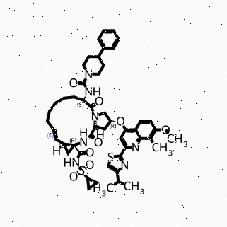 COc1ccc2c(O[C@@H]3C[C@H]4C(=O)N[C@]5(C(=O)NS(=O)(=O)C6CC6)C[C@H]5/C=C/CCCCC[C@H](NC(=O)N5CCC(c6ccccc6)CC5)C(=O)N4C3)cc(-c3nc(C(C)C)cs3)nc2c1C